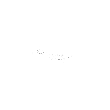 CC(=O)N(C[C@H](O)COc1ccc(C(C)(C)c2cc(Cl)c(OC[C@@H](O)CCl)c(Cl)c2)cc1)S(C)(=O)=O